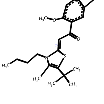 CCCCN1C(C)=C(C(C)(C)C)S/C1=C\C(=O)c1cc(F)ccc1OC